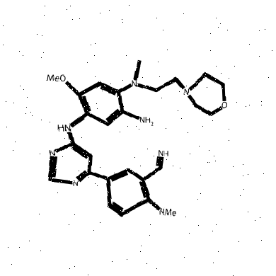 CNc1ccc(-c2cc(Nc3cc(N)c(N(C)CCN4CCOCC4)cc3OC)ncn2)cc1C=N